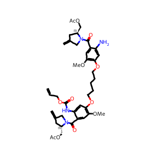 C=CCOC(=O)Nc1cc(OCCCCCOc2cc(N)c(C(=O)N3CC(=C)C[C@H]3COC(C)=O)cc2OC)c(OC)cc1C(=O)N1CC(=C)C[C@H]1COC(C)=O